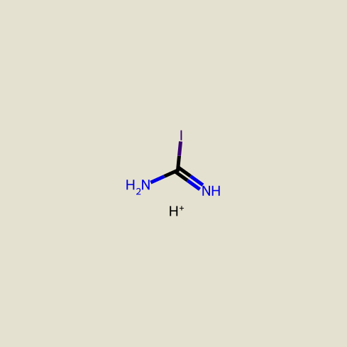 N=C(N)I.[H+]